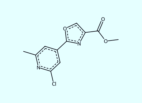 COC(=O)c1coc(-c2cc(C)nc(Cl)c2)n1